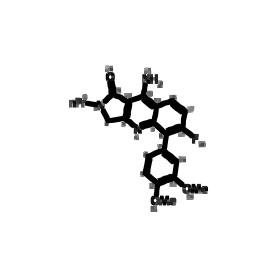 CCCN1Cc2nc3c(-c4ccc(OC)c(OC)c4)c(F)ccc3c(N)c2C1=O